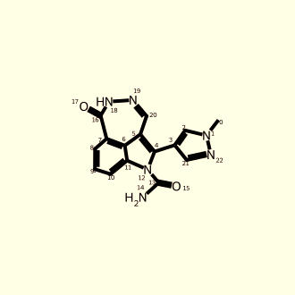 Cn1cc(-c2c3c4c(c[c]cc4n2C(N)=O)C(=O)NN=C3)cn1